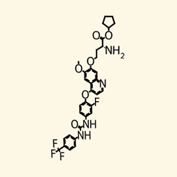 COc1cc2c(Oc3ccc(NC(=O)Nc4ccc(C(F)(F)F)cc4)cc3F)ccnc2cc1OCC[C@@H](N)C(=O)OC1CCCC1